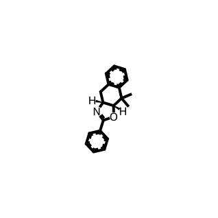 CC1(C)c2ccccc2C[C@H]2N=C(c3ccccc3)O[C@H]21